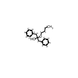 CCCCOC(O)(Cc1ccccc1)Cc1ccccc1